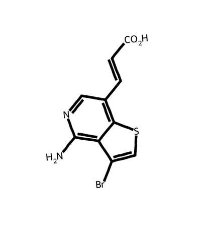 Nc1ncc(C=CC(=O)O)c2scc(Br)c12